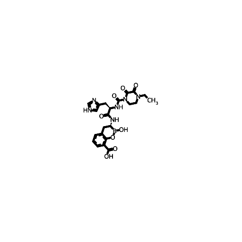 CCN1CCN(C(=O)N[C@H](Cc2c[nH]cn2)C(=O)N[C@H]2Cc3cccc(C(=O)O)c3OB2O)C(=O)C1=O